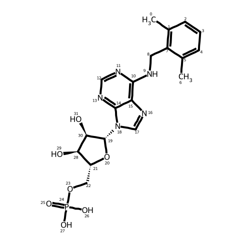 Cc1cccc(C)c1CNc1ncnc2c1ncn2[C@@H]1O[C@H](COP(=O)(O)O)[C@@H](O)[C@H]1O